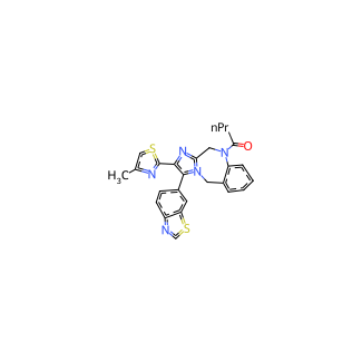 CCCC(=O)N1Cc2nc(-c3nc(C)cs3)c(-c3ccc4ncsc4c3)n2Cc2ccccc21